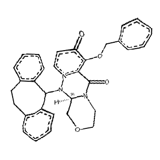 O=C1c2c(OCc3ccccc3)c(=O)ccn2N(C2c3ccccc3CCc3ccccc32)[C@@H]2COCCN12